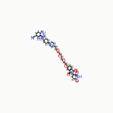 N#Cc1ccc2ncnc(NC3CCC(N4CCN(CCOCCOCCOCCOc5ccc6c(c5)C(=O)N(C5CCC(=O)NC5=O)C6=O)CC4)CC3)c2c1